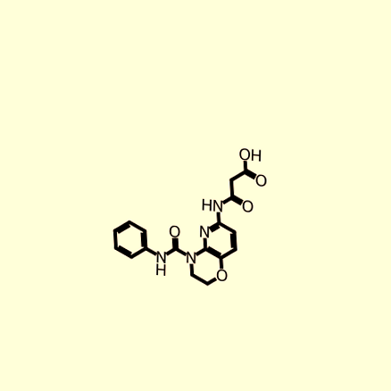 O=C(O)CC(=O)Nc1ccc2c(n1)N(C(=O)Nc1ccccc1)CCO2